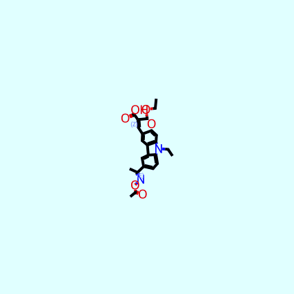 CCOC(=O)/C(=C\c1ccc2c(c1)c1cc(/C(C)=N/OC(C)=O)ccc1n2CC)C(=O)O